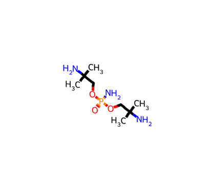 CC(C)(N)COP(N)(=O)OCC(C)(C)N